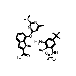 CNc1nc(C)cc(Oc2cccc3cc(C(=O)O)n(C)c23)n1.COc1c(N)cc(C(C)(C)C)cc1NS(C)(=O)=O